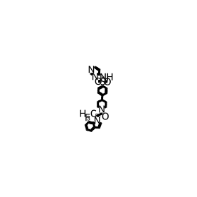 C[C@H](C(=O)N1CCC(c2ccc(S(=O)(=O)Nc3ccncn3)cc2)CC1)n1ccc2cccc(F)c21